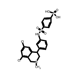 CN1Cc2c(Cl)cc(Cl)cc2C(c2cccc(NS(=O)(=O)c3ccc(P(=O)(O)O)cc3)c2)C1